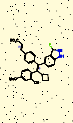 COc1ccc(/C(=C(\c2ccc(/C=C/C(=O)O)cc2)c2ccc3c(c2)C(F)NN3)C2CCC2)c(C#N)c1